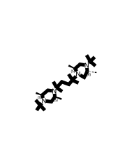 C[C@@H]1CN(C(C)(C)CCC(C)(C)N2C[C@H](C)N(C(C)(C)C)C[C@@H]2C)[C@@H](C)CN1C(C)(C)C